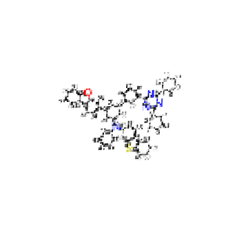 c1ccc(-c2nc(-c3ccccc3)nc(-c3cccc(-c4cc(-c5ccc6c(c5)oc5ccccc56)cc(-n5c6ccccc6c6c7sc8ccccc8c7ccc65)c4)c3)n2)cc1